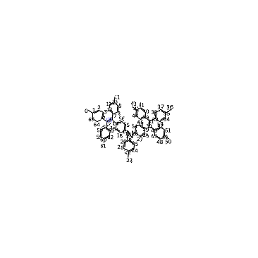 CC1=CC=C(/C(=C(\c2ccc(C)cc2)c2ccc(N(c3ccc(C)cc3)c3ccc(C(=C(c4ccc(C)cc4)c4ccc(C)cc4)c4ccc(C)cc4)cc3)cc2)c2ccc(C)cc2)CC1